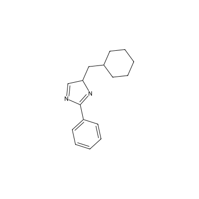 C1=NC(c2ccccc2)=NC1CC1CCCCC1